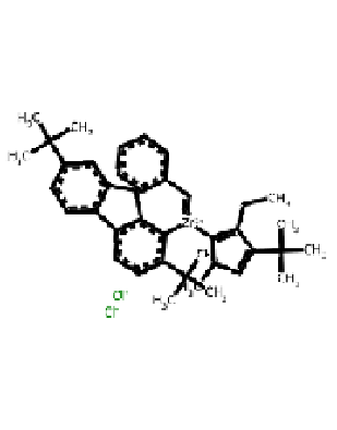 CCC1=[C](/[Zr+2](=[CH]/c2ccccc2)[c]2c(C(C)(C)C)ccc3c2Cc2cc(C(C)(C)C)ccc2-3)C(C)C=C1C(C)(C)C.[Cl-].[Cl-]